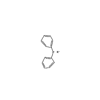 [K+].c1ccc([P-]c2ccccc2)cc1